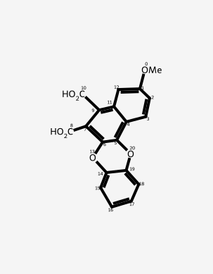 COc1ccc2c3c(c(C(=O)O)c(C(=O)O)c2c1)Oc1ccccc1O3